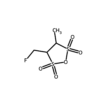 CC1C(CF)S(=O)(=O)OS1(=O)=O